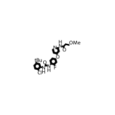 COCCC(=O)Nc1cc(Oc2ccc(NC(=O)Nc3cc(C(C)(C)C)ccc3Cl)c(F)c2)ccn1